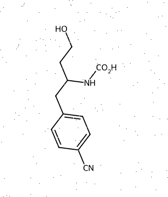 N#Cc1ccc(CC(CCO)NC(=O)O)cc1